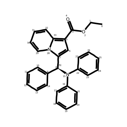 CCOC(=O)c1cc([C@H](c2ccccc2)N(c2ccccc2)c2ccccc2)n2ccccc12